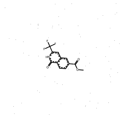 COC(=O)c1ccc2c(=O)[nH]c(C(F)(F)F)cc2c1